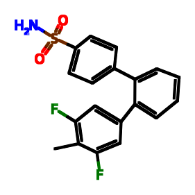 Cc1c(F)cc(-c2ccccc2-c2ccc(S(N)(=O)=O)cc2)cc1F